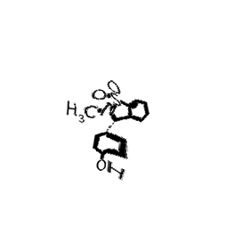 CN1[C@@H](c2ccc(O)cc2)c2ccccc2S1(=O)=O